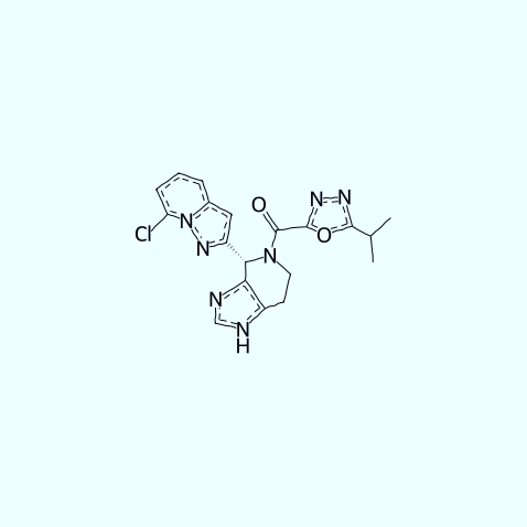 CC(C)c1nnc(C(=O)N2CCc3[nH]cnc3[C@@H]2c2cc3cccc(Cl)n3n2)o1